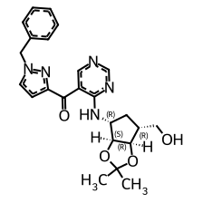 CC1(C)O[C@@H]2[C@@H](CO)C[C@@H](Nc3ncncc3C(=O)c3ccn(Cc4ccccc4)n3)[C@@H]2O1